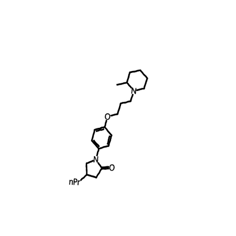 CCCC1CC(=O)N(c2ccc(OCCCN3CCCCC3C)cc2)C1